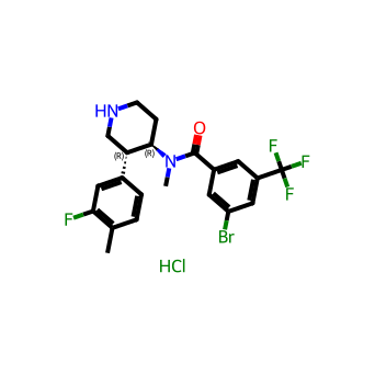 Cc1ccc([C@@H]2CNCC[C@H]2N(C)C(=O)c2cc(Br)cc(C(F)(F)F)c2)cc1F.Cl